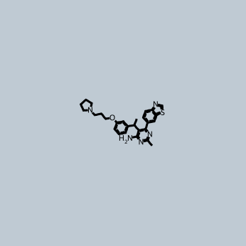 Cc1nc(N)c(C(C)c2cccc(OCCCN3CCCC3)c2)c(-c2ccc3ncsc3c2)n1